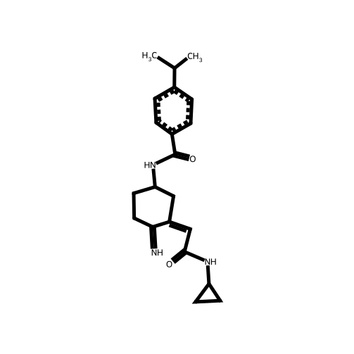 CC(C)c1ccc(C(=O)NC2CCC(=N)/C(=C\C(=O)NC3CC3)C2)cc1